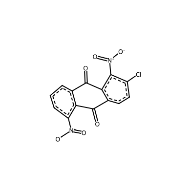 O=C1c2ccc(Cl)c([N+](=O)[O-])c2C(=O)c2cccc([N+](=O)[O-])c21